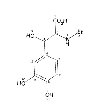 CCNC(C(=O)O)C(O)c1ccc(O)c(O)c1